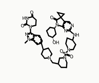 Cn1nc(N2CCC(=O)NC2=O)c2ccc(C3CCN(CC4CCCN(S(=O)(=O)N5CCC(Nc6ncc7c(n6)N([C@@H]6CCC[C@@H](O)C6)C(=O)C76CC6)CC5)C4)CC3)cc21